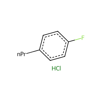 CCCc1ccc(F)cc1.Cl